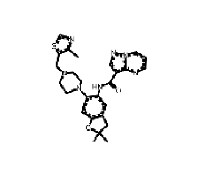 Cc1ncsc1CN1CCN(c2cc3c(cc2NC(=O)c2cnn4cccnc24)CC(C)(C)O3)CC1